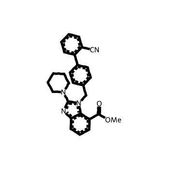 COC(=O)c1cccc2nc(N3CCCCC3)n(Cc3ccc(-c4ccccc4C#N)cc3)c12